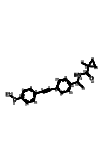 CCOc1ccc(C#Cc2ccc(C(C)NC(=O)C3(C)CC3)cc2)cc1